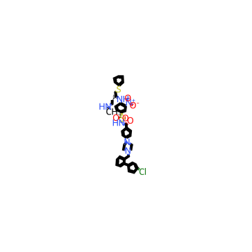 CNCC[C@H](CSc1ccccc1)Nc1ccc(S(=O)(=O)NC(=O)c2ccc(N3CCN(Cc4ccccc4-c4ccc(Cl)cc4)CC3)cc2)cc1[N+](=O)[O-]